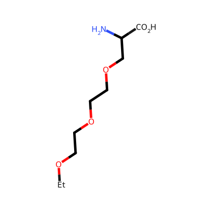 CCOCCOCCOCC(N)C(=O)O